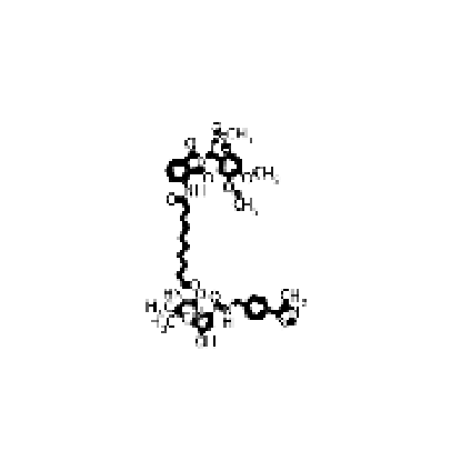 CCOc1cc([C@@H](CS(C)(=O)=O)N2C(=O)c3cccc(NC(=O)CCCCCCCCC(=O)N[C@H](C(=O)N4C[C@H](O)C[C@H]4C(=O)NCc4ccc(-c5scnc5C)cc4)C(C)(C)C)c3C2=O)ccc1OC